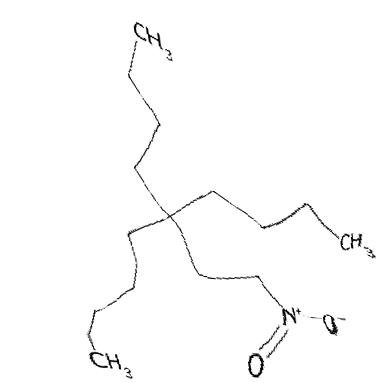 CCCCC(CCCC)(CCCC)CC[N+](=O)[O-]